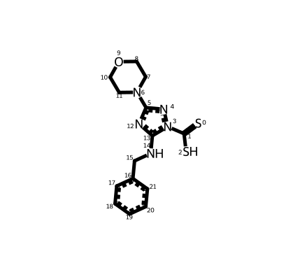 S=C(S)n1nc(N2CCOCC2)nc1NCc1ccccc1